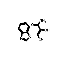 N#CC=C(O)C(N)=O.c1ccc2scnc2c1